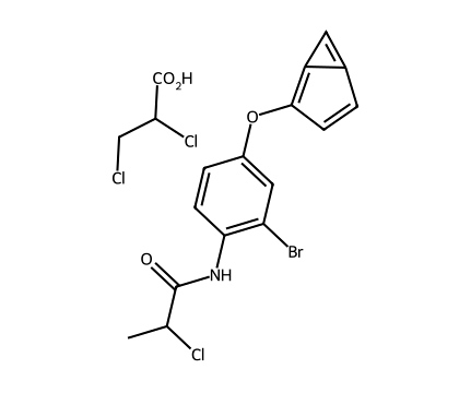 CC(Cl)C(=O)Nc1ccc(Oc2ccc3cc2-3)cc1Br.O=C(O)C(Cl)CCl